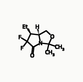 CC[C@H]1[C@H]2COC(C)(C)N2C(=O)C1(F)F